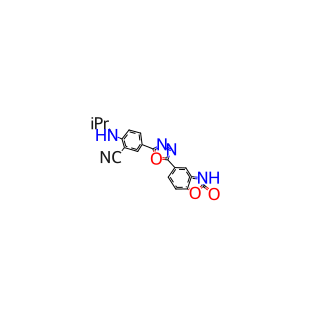 CC(C)Nc1ccc(-c2nnc(-c3ccc4oc(=O)[nH]c4c3)o2)cc1C#N